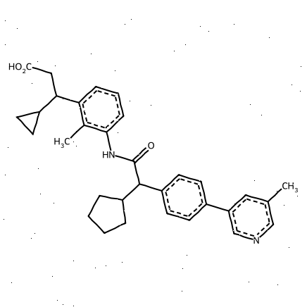 Cc1cncc(-c2ccc(C(C(=O)Nc3cccc(C(CC(=O)O)C4CC4)c3C)C3CCCC3)cc2)c1